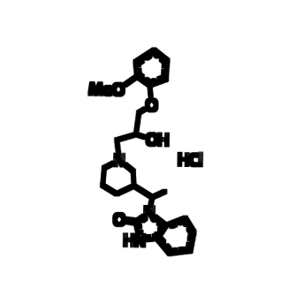 COc1ccccc1OCC(O)CN1CCCC(C(C)n2c(=O)[nH]c3ccccc32)C1.Cl